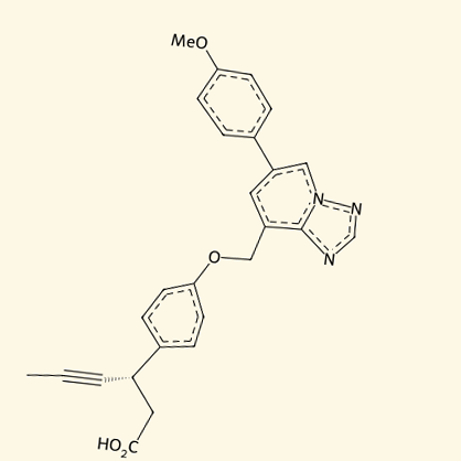 CC#C[C@@H](CC(=O)O)c1ccc(OCc2cc(-c3ccc(OC)cc3)cn3ncnc23)cc1